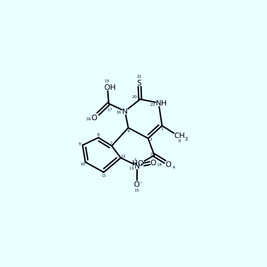 CC1=C(C(=O)O)C(c2ccccc2[N+](=O)[O-])N(C(=O)O)C(=S)N1